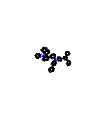 c1ccc(-c2ccc(N(c3ccc(-c4cc(-c5ccccc5)cc(-c5ccccc5)c4)cc3)c3cccc(-c4cccc5c4c4ccc6ccccc6c4n5-c4ccccc4)c3)cc2)cc1